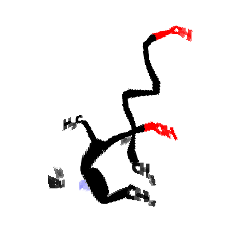 C/C=C(\C(C)[C@@](C)(O)CCCO)[C@H](C)CC